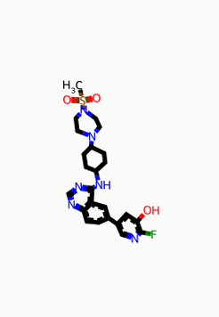 CS(=O)(=O)N1CCN(C2CCC(Nc3ncnc4ccc(-c5cnc(F)c(O)c5)cc34)CC2)CC1